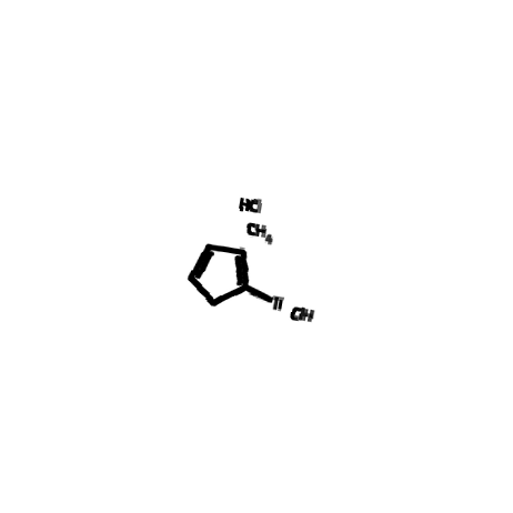 C.Cl.Cl.[Ti][C]1=CC=CC1